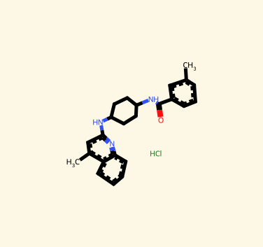 Cc1cccc(C(=O)NC2CCC(Nc3cc(C)c4ccccc4n3)CC2)c1.Cl